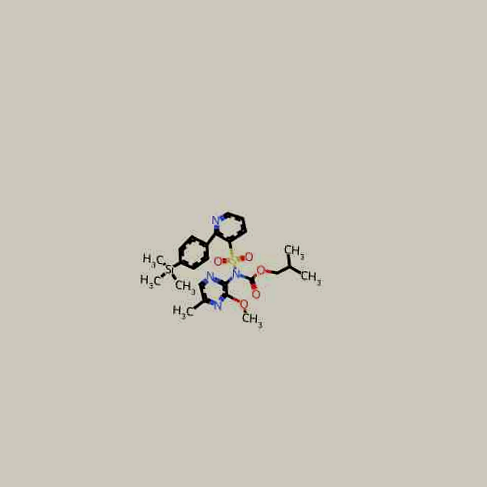 COc1nc(C)cnc1N(C(=O)OCC(C)C)S(=O)(=O)c1cccnc1-c1ccc([Si](C)(C)C)cc1